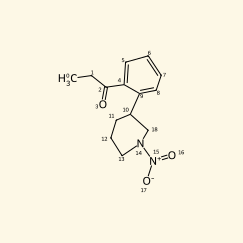 CCC(=O)c1ccccc1C1CCCN([N+](=O)[O-])C1